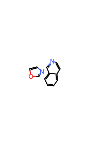 c1ccc2cnccc2c1.c1cocn1